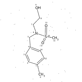 Cc1ccc(CN(CCO)S(C)(=O)=O)cc1